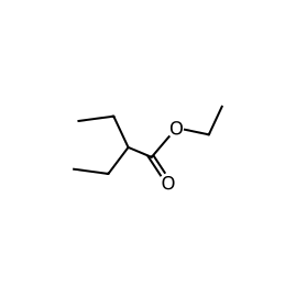 CCOC(=O)C(CC)CC